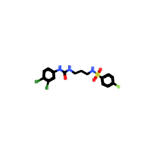 O=C(NCCCNS(=O)(=O)c1ccc(F)cc1)Nc1ccc(Cl)c(Cl)c1